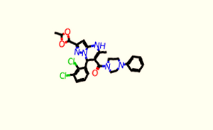 CC1=C(C(=O)N2CCN(c3ccccc3)CC2)C(c2cccc(Cl)c2Cl)n2nc(C3OC(C)O3)cc2N1